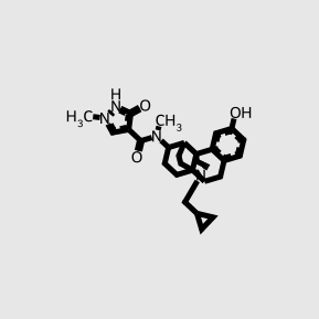 CN(C(=O)c1cn(C)[nH]c1=O)C1CCC23CCC1C21CCN(CC2CC2)C3Cc2ccc(O)cc21